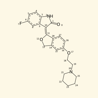 O=C1Nc2ccc(F)cc2C1=C1OCc2cc(OCCN3CCCCC3)ccc21